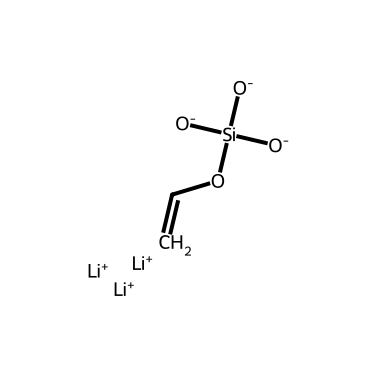 C=CO[Si]([O-])([O-])[O-].[Li+].[Li+].[Li+]